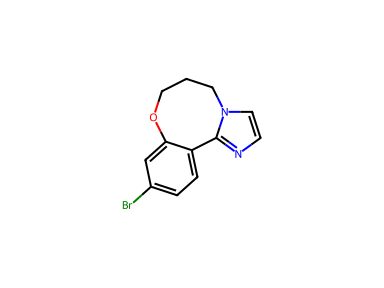 Brc1ccc2c(c1)OCCCn1ccnc1-2